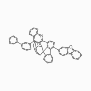 c1ccc(-c2cccc(-c3nc(-c4ccc(-c5ccc6c(c5)oc5ccccc56)c5c4C4(c6ccccc6-5)C5CC6CC(C5)CC4C6)nc4ccccc34)c2)cc1